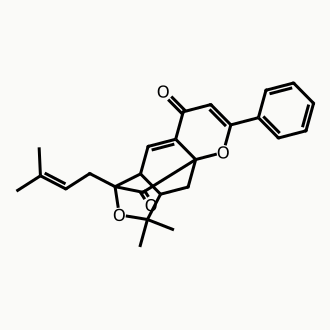 CC(C)=CCC12OC(C)(C)C3CC4(OC(c5ccccc5)=CC(=O)C4=CC31)C2=O